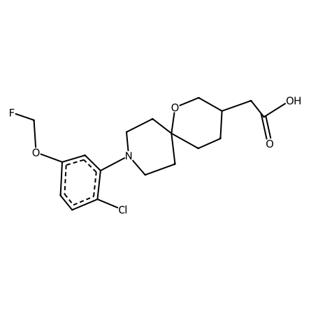 O=C(O)CC1CCC2(CCN(c3cc(OCF)ccc3Cl)CC2)OC1